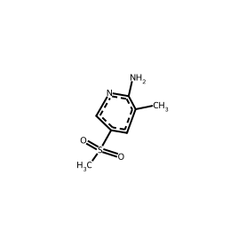 Cc1cc(S(C)(=O)=O)cnc1N